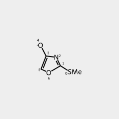 CSc1nc([O])co1